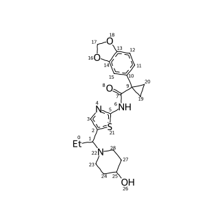 CCC(c1cnc(NC(=O)C2(c3ccc4c(c3)OCO4)CC2)s1)N1CCC(O)CC1